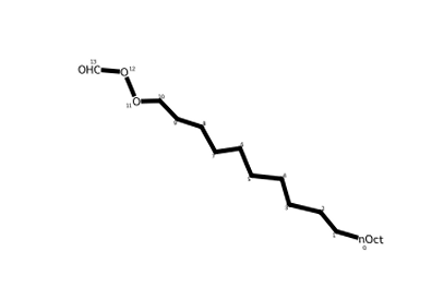 CCCCCCCCCCCCCCCCCCOOC=O